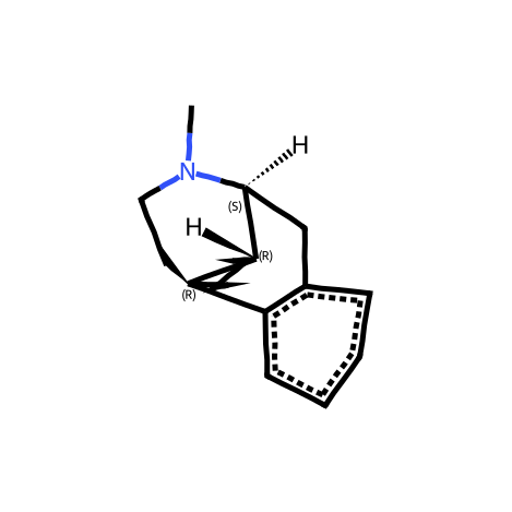 CN1CC[C@]23CCCC[C@H]2[C@@H]1Cc1ccccc13